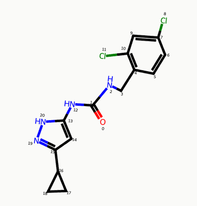 O=C(NCc1ccc(Cl)cc1Cl)Nc1cc(C2CC2)n[nH]1